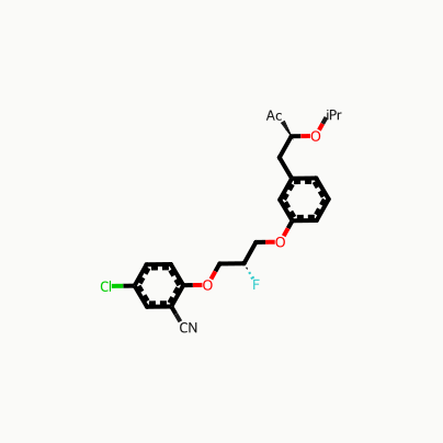 CC(=O)[C@H](Cc1cccc(OC[C@H](F)COc2ccc(Cl)cc2C#N)c1)OC(C)C